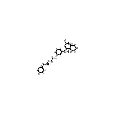 Cc1cc(Nc2cccc(OCCCNCc3ccccc3)c2)c2ccccc2n1